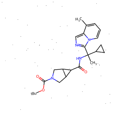 Cc1cccn2c(C(C)(NC(=O)C3C4CN(C(=O)OC(C)(C)C)CC43)C3CC3)ncc12